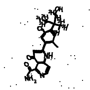 [2H]C([2H])([2H])C(c1cc(C)c(-c2cc(=O)c3c(C(N)=O)nccc3[nH]2)cc1Cl)(C([2H])([2H])[2H])C([2H])([2H])O